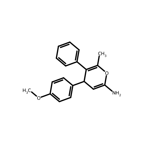 COc1ccc(C2C=C(N)OC(C)=C2c2ccccc2)cc1